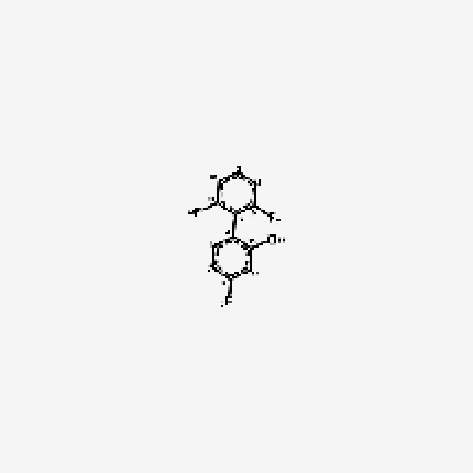 Fc1ccc(-c2c(F)[c]ccc2F)c(Cl)c1